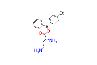 CCc1ccc(B(OC(=O)C(N)CCN)c2ccccc2)cc1